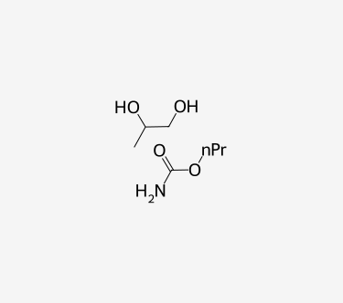 CC(O)CO.CCCOC(N)=O